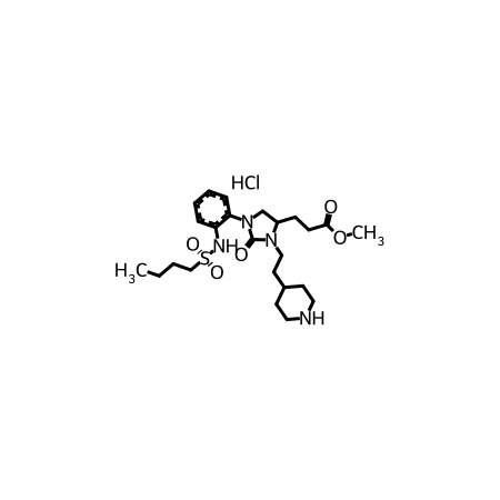 CCCCS(=O)(=O)Nc1ccccc1N1CC(CCC(=O)OC)N(CCC2CCNCC2)C1=O.Cl